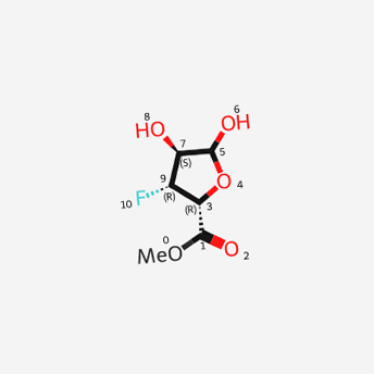 COC(=O)[C@H]1OC(O)[C@H](O)[C@H]1F